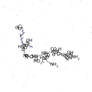 C/C=C/[C@@H]1O[C@H]([C@@H](/C=C/C=C(\C)C[C@@H](C)/C=C(C)\C=C\[C@H]2CC=CC(=O)O2)NC(=O)OCCc2cn(-c3ccc(C(=O)NCCCC[C@H](NC(=O)CC[C@H](NC(=O)c4ccc(NCc5cnc6nc(N)nc(O)c6n5)cc4)C(=O)O)C(=O)N[C@H](CCCCN)C(=O)O)cc3)nn2)C[C@@H](O)[C@@H]1C